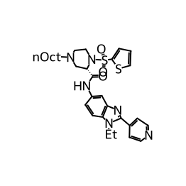 CCCCCCCCN1CCN(S(=O)(=O)c2cccs2)[C@H](C(=O)Nc2ccc3c(c2)nc(-c2ccncc2)n3CC)C1